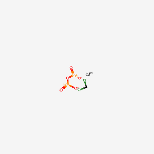 ClCCl.O=[PH]([O-])O[PH](=O)[O-].[Cd+2]